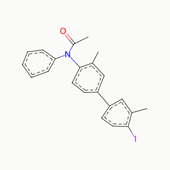 CC(=O)N(c1ccccc1)c1ccc(-c2ccc(I)c(C)c2)cc1C